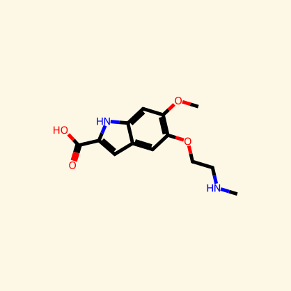 CNCCOc1cc2cc(C(=O)O)[nH]c2cc1OC